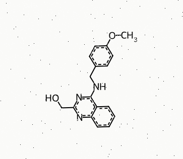 COc1ccc(CNc2nc(CO)nc3ccccc23)cc1